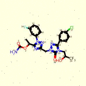 CC(OC(N)=O)c1nc(Cn2nc(-c3ccc(Cl)cc3)n(CC(O)C(F)(F)F)c2=O)nn1-c1cccc(F)c1